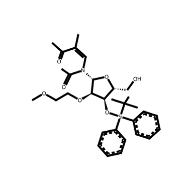 COCCO[C@@H]1[C@H](O[Si](c2ccccc2)(c2ccccc2)C(C)(C)C)[C@@H](CO)O[C@H]1N(/C=C(/C)C(C)=O)C(C)=O